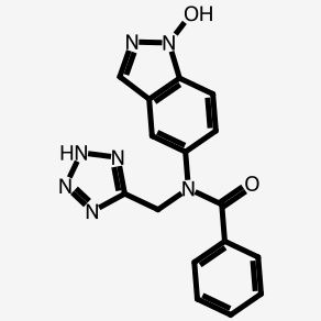 O=C(c1ccccc1)N(Cc1nn[nH]n1)c1ccc2c(cnn2O)c1